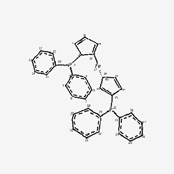 C1=CC(P(c2ccccc2)c2ccccc2)[C]([Fe][C@@H]2C=CC(P(c3ccccc3)c3ccccc3)=C2)=C1